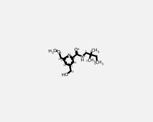 CCC(C)(C)CNC(=O)c1cc(CO)cc(COC)n1